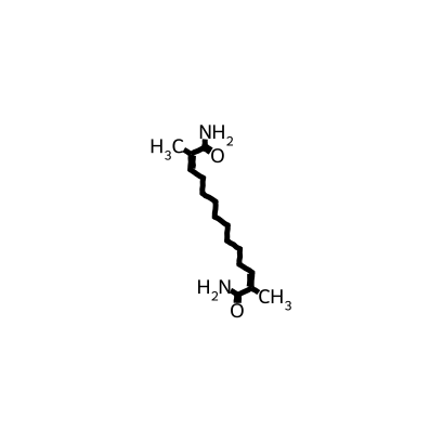 CC(=CCCCCCCCCC=C(C)C(N)=O)C(N)=O